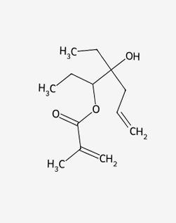 C=CCC(O)(CC)C(CC)OC(=O)C(=C)C